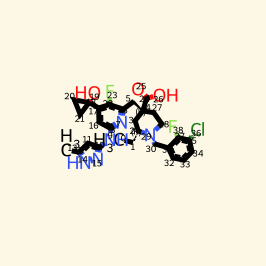 CC[C@@H]1C[C@](Cc2nc(Nc3cc(C)[nH]n3)cc(C3(O)CC3)c2F)(C(=O)O)CCN1Cc1cccc(Cl)c1F